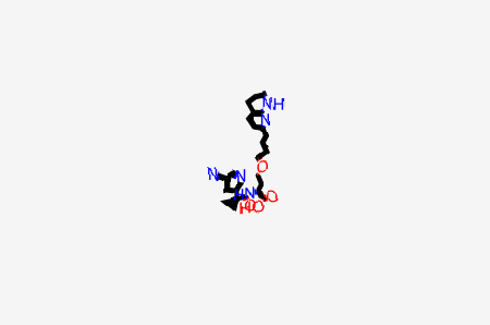 N#Cc1cncc(C2(C(=O)NC(CCOCCCCc3ccc4c(n3)NCCC4)C(=O)O)CC2)c1